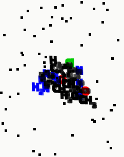 COc1c(C(C)n2nc(C)c3c(N)ncnc32)cc(Cl)c(C#N)c1-c1ccc(C(=O)N(C)C)nc1